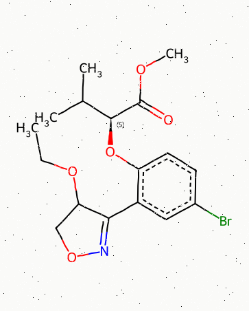 CCOC1CON=C1c1cc(Br)ccc1O[C@H](C(=O)OC)C(C)C